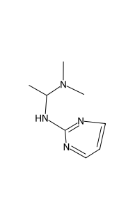 CC(Nc1ncccn1)N(C)C